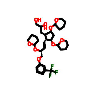 OCC(O)C[C@@H]1[C@@H](/C=C/[C@H](COc2cccc(C(F)(F)F)c2)OC2CCCCO2)[C@H](OC2CCCCO2)C[C@@H]1OC1CCCCO1